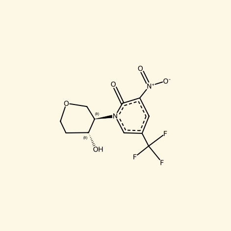 O=c1c([N+](=O)[O-])cc(C(F)(F)F)cn1[C@@H]1COCC[C@H]1O